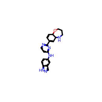 C1=CC2OCCCNC2C=C1c1nccc(Nc2ccc3[nH]ncc3c2)n1